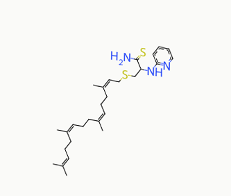 CC(C)=CCCC(C)=CCCC(C)=CCCC(C)=CCSCC(Nc1ccccn1)C(N)=S